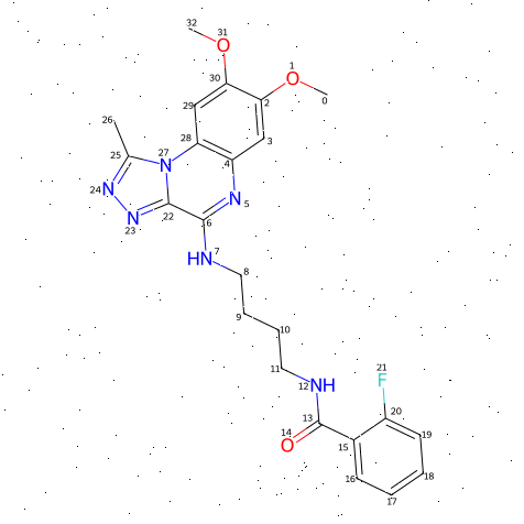 COc1cc2nc(NCCCCNC(=O)c3ccccc3F)c3nnc(C)n3c2cc1OC